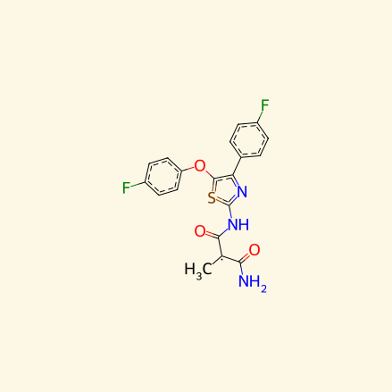 C[C](C(N)=O)C(=O)Nc1nc(-c2ccc(F)cc2)c(Oc2ccc(F)cc2)s1